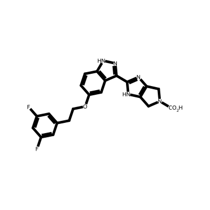 O=C(O)N1Cc2nc(-c3n[nH]c4ccc(OCCc5cc(F)cc(F)c5)cc34)[nH]c2C1